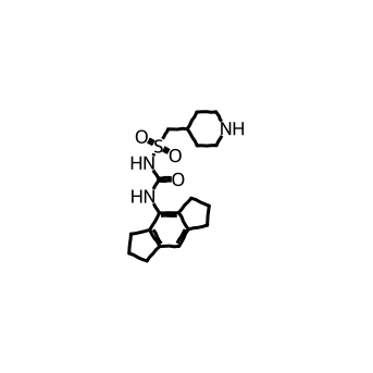 O=C(Nc1c2c(cc3c1CCC3)CCC2)NS(=O)(=O)CC1CCNCC1